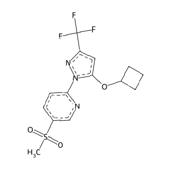 CS(=O)(=O)c1ccc(-n2nc(C(F)(F)F)cc2OC2CCC2)nc1